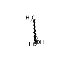 CCCCCCCCCCCOCB(O)O